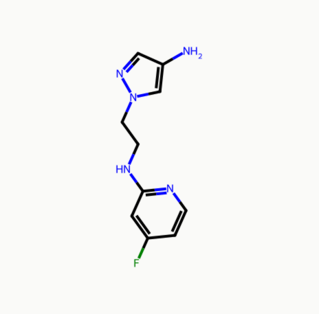 Nc1cnn(CCNc2cc(F)ccn2)c1